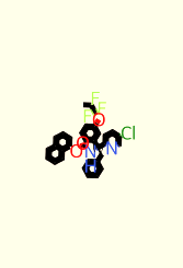 CC(F)C(F)(F)Oc1cccc([C@@](Cc2ccccc2)(NC(=O)Oc2cccc3ccccc23)c2ccc(Cl)cn2)c1